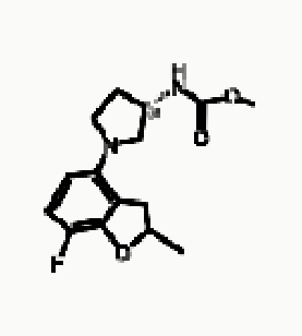 COC(=O)N[C@H]1CCN(c2ccc(F)c3c2CC(C)O3)C1